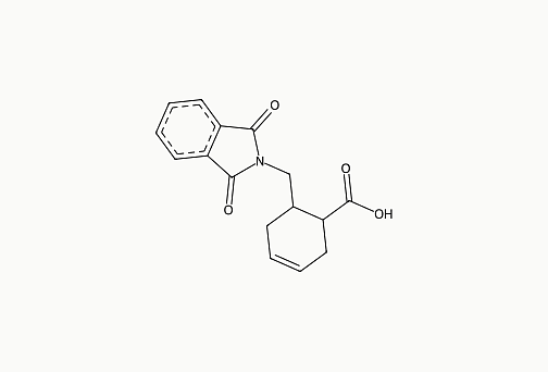 O=C(O)C1CC=CCC1CN1C(=O)c2ccccc2C1=O